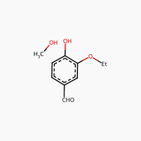 CCOc1cc(C=O)ccc1O.CO